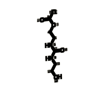 CCC(=O)OCCNC(=O)NCCO